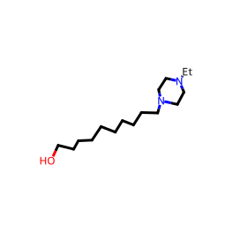 CCN1CCN(CCCCCCCCCCO)CC1